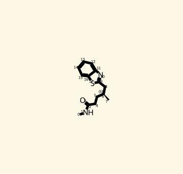 CNC(=O)CC[C@H](C)Cc1nc2ccccc2s1